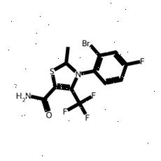 CC1SC(C(N)=O)=C(C(F)(F)F)N1c1ccc(F)cc1Br